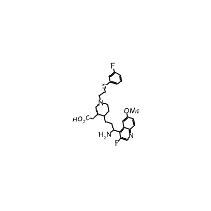 COc1ccc2ncc(F)c(C(N)CCC3CCN(CCSc4cccc(F)c4)CC3CC(=O)O)c2c1